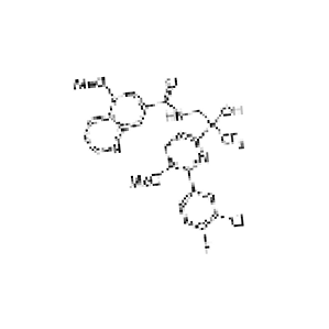 COc1ccc(C(O)(CNC(=O)c2cc(OC)c3cccnc3c2)C(F)(F)F)nc1-c1ccc(F)c(Cl)c1